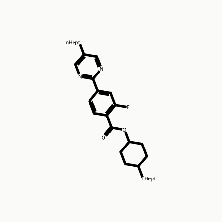 CCCCCCCc1cnc(-c2ccc(C(=O)OC3CCC(CCCCCCC)CC3)c(F)c2)nc1